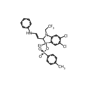 CC[N+]1(OS(=O)(=O)c2ccc(C)cc2)c2cc(Cl)c(Cl)cc2N(CC(F)(F)F)C1C=CNc1ccccc1